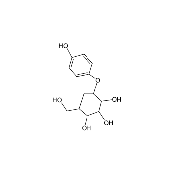 OCC1CC(Oc2ccc(O)cc2)C(O)C(O)C1O